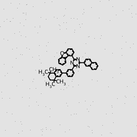 CC1(C)CCC(C)(C)c2cc(-c3cccc(-c4nc(-c5ccc6ccccc6c5)nc(-c5cccc6oc7ccccc7c56)n4)c3)ccc21